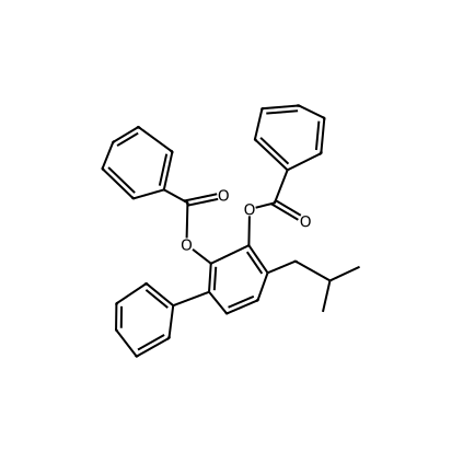 CC(C)Cc1ccc(-c2ccccc2)c(OC(=O)c2ccccc2)c1OC(=O)c1ccccc1